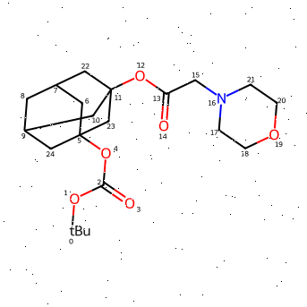 CC(C)(C)OC(=O)OC12CC3CC(CC(OC(=O)CN4CCOCC4)(C3)C1)C2